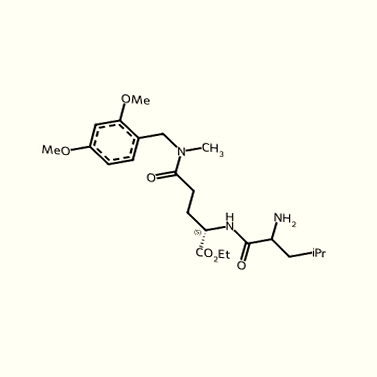 CCOC(=O)[C@H](CCC(=O)N(C)Cc1ccc(OC)cc1OC)NC(=O)C(N)CC(C)C